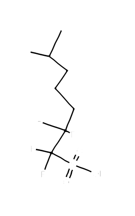 CC(C)CCCC(F)(F)C(F)(F)S(=O)(=O)O